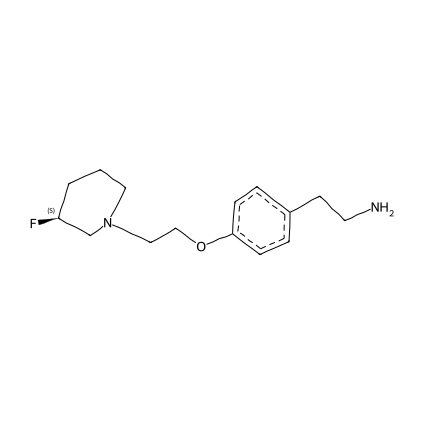 NCCc1ccc(OCCN2CCC[C@H](F)C2)cc1